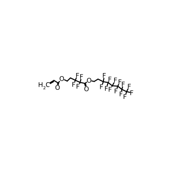 C=CC(=O)OCCC(F)(F)C(F)(F)C(=O)OCCC(F)(F)C(F)(F)C(F)(F)C(F)(F)C(F)(F)C(F)(F)F